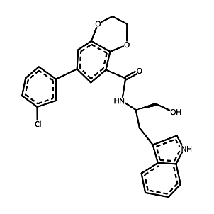 O=C(N[C@@H](CO)Cc1c[nH]c2ccccc12)c1cc(-c2cccc(Cl)c2)cc2c1OCCO2